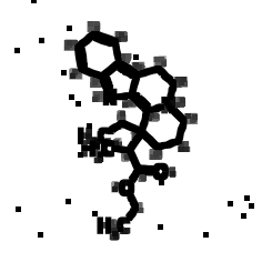 CCOC(=O)C(C)C1(CC)CCCN2CCC3=c4ccccc4=NC3=C21